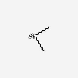 CC=CCCCCCC[Si](C)(CCCCCCC=CC)O[Si](C)(C)C